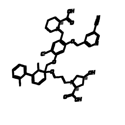 Cc1ccccc1C1=CC=CC(COc2cc(OCc3cncc(C#N)c3)c(CN3CCCC[C@H]3C(=O)O)cc2Cl)(OCCCN2C[C@@H](O)C[C@H]2C(=O)O)C1C